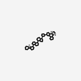 c1cc(-c2ccc3c(c2)c2ccccc2c2nccnc32)cc(-c2cccc3c(-c4cccc5c(-c6cccc7c6sc6ccccc67)cccc45)cccc23)c1